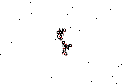 CC1(C)c2ccccc2-c2cc(-c3nc(-c4ccccc4)cc(-c4ccc(-c5ccc6oc7c(ccc8c(-c9ccccc9)nc9ccccc9c87)c6c5)cc4)n3)ccc21